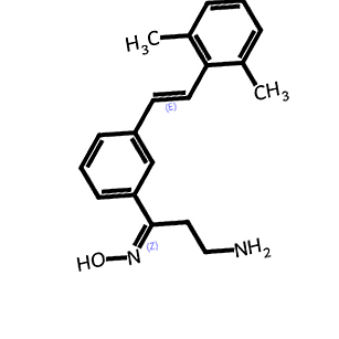 Cc1cccc(C)c1/C=C/c1cccc(/C(CCN)=N\O)c1